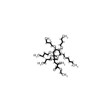 CCCCOC[C@H]1O[C@@](OCCCC)(C(F)(F)CC(N)C(=O)OCC)[C@H](OCCCC)[C@@H](OCCCC)[C@H]1OCCCC